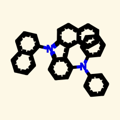 c1ccc(N(c2ccccc2)c2cccc3c2c2c4ccccc4ccc2n3-c2cccc3ccccc23)cc1